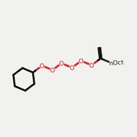 C=C(CCCCCCCC)OOOOOOC1CCCCC1